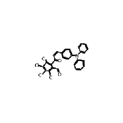 O=Cc1c(Cl)c(Cl)c(Cl)c(Cl)c1C(=O)/C=C\c1ccc(N(c2ccccc2)c2ccccc2)cc1